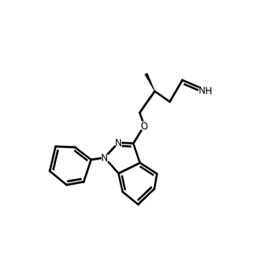 C[C@@H](CC=N)COc1nn(-c2ccccc2)c2ccccc12